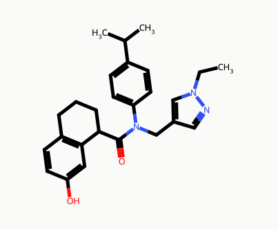 CCn1cc(CN(C(=O)C2CCCc3ccc(O)cc32)c2ccc(C(C)C)cc2)cn1